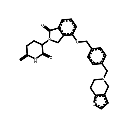 C=C1CCC(N2Cc3c(OCc4ccc(CN5CCc6sccc6C5)cc4)cccc3C2=O)C(=O)N1